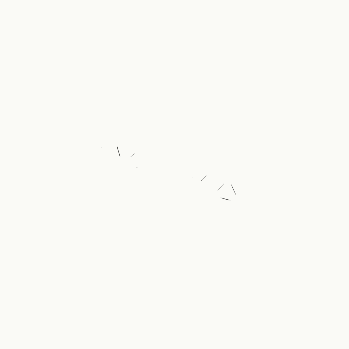 CC=CC(=O)O[C@H]1CC[C@H]([C@H]2CC[C@H](C(=O)Oc3ccc(OCC)cc3)CC2)CC1